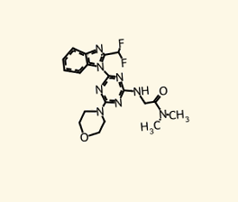 CN(C)C(=O)CNc1nc(N2CCOCC2)nc(-n2c(C(F)F)nc3ccccc32)n1